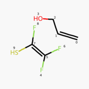 C=CCO.FC(F)=C(F)S